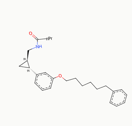 CCCC(=O)NC[C@@H]1C[C@H]1c1cccc(OCCCCCCc2ccccc2)c1